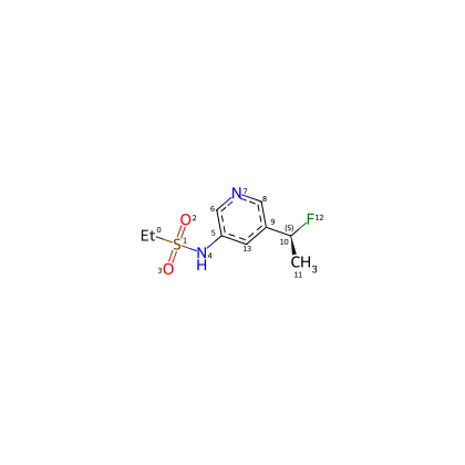 CCS(=O)(=O)Nc1cncc([C@H](C)F)c1